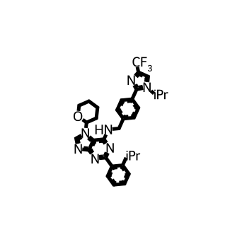 CC(C)c1ccccc1-c1nc(NCc2ccc(-c3nc(C(F)(F)F)cn3C(C)C)cc2)c2c(ncn2C2CCCCO2)n1